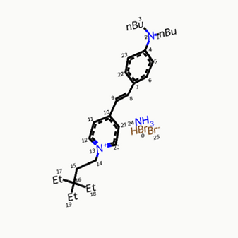 Br.CCCCN(CCCC)c1ccc(C=Cc2cc[n+](CCC(CC)(CC)CC)cc2)cc1.N.[Br-]